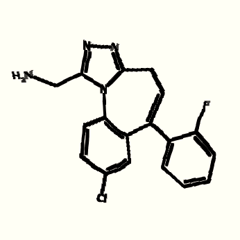 NCc1nnc2n1-c1ccc(Cl)cc1C(c1ccccc1F)=CC2